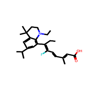 CCC(=C(F)C=CC(C)=CC(=O)O)c1cc(C(C)C)cc2c1N(CC)CCC2(C)C